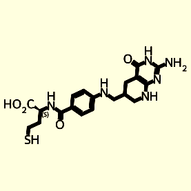 Nc1nc2c(c(=O)[nH]1)CC(CNc1ccc(C(=O)N[C@@H](CCS)C(=O)O)cc1)CN2